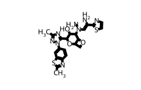 Cc1nc(C2OC3COC3C(N(N)/C=C(\N)c3nccs3)C2O)n(-c2ccc3nc(C)sc3c2)n1